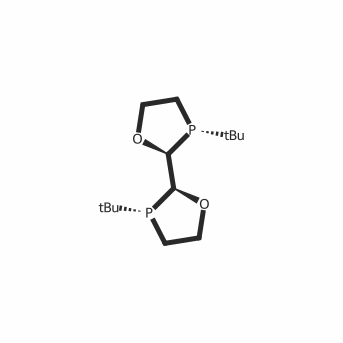 CC(C)(C)[P@@]1CCO[C@@H]1[C@H]1OCC[P@]1C(C)(C)C